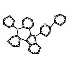 c1ccc(N2c3ccccc3-c3c(n(-c4ccc(-c5ccccn5)nc4)c4ccccc34)-c3ccccc32)cc1